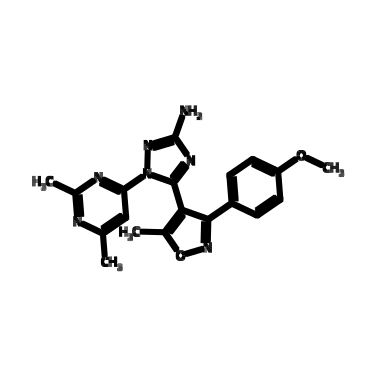 COc1ccc(-c2noc(C)c2-c2nc(N)nn2-c2cc(C)nc(C)n2)cc1